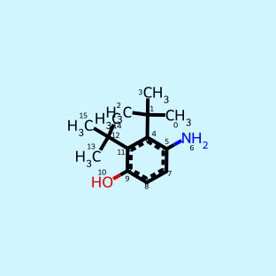 CC(C)(C)c1c(N)ccc(O)c1C(C)(C)C